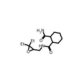 CCC1(CC)OC1CNC(=O)C1CCCCC1C(N)=O